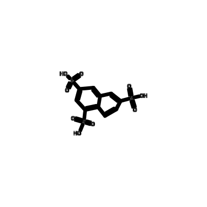 O=S(=O)(O)c1[c]cc2c(S(=O)(=O)O)cc(S(=O)(=O)O)cc2c1